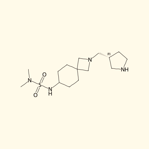 CN(C)S(=O)(=O)NC1CCC2(CC1)CN(C[C@@H]1CCNC1)C2